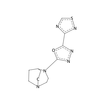 c1nc(-c2nnc(N3CCN4CCC3CC4)o2)ns1